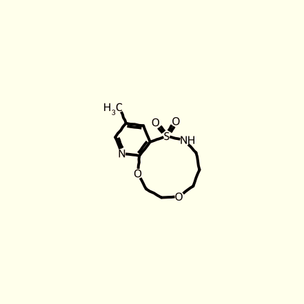 Cc1cnc2c(c1)S(=O)(=O)NCCCOCCO2